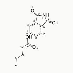 CCCCC(=O)O.O=C1NC(=O)c2ccccc21